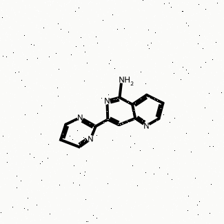 Nc1nc(-c2ncccn2)cc2ncccc12